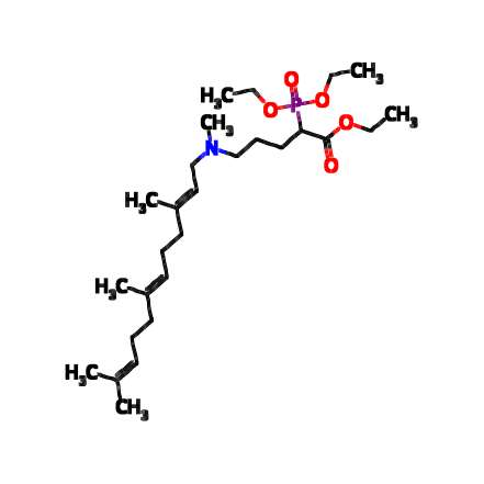 CCOC(=O)C(CCCN(C)C/C=C(\C)CC/C=C(\C)CCC=C(C)C)P(=O)(OCC)OCC